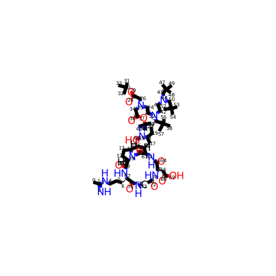 CC(=N)NCCC[C@@H]1NC(=O)[C@@H]2CC[C@H]3C[C@@H](CC(CC[C@H](N(CCN(CC(=O)OC(C)(C)C)CC(=O)OC(C)(C)C)CCN(CC(C)(C)C)CC(C)(C)C)C(C)(C)C)NO)[C@@H](NC(=O)[C@H](CC(=O)O)NC(=O)CNC1=O)C(=O)N32